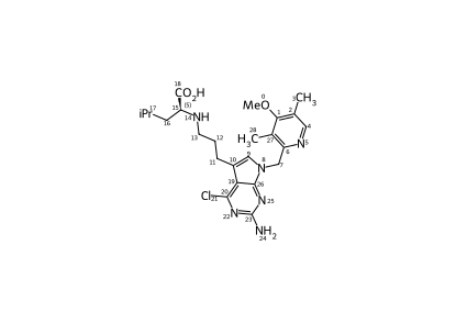 COc1c(C)cnc(Cn2cc(CCCN[C@@H](CC(C)C)C(=O)O)c3c(Cl)nc(N)nc32)c1C